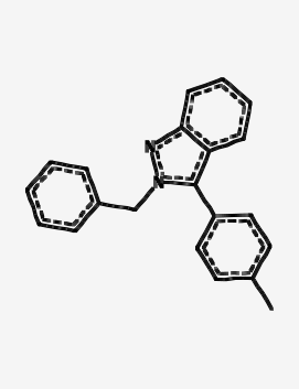 Cc1ccc(-c2c3ccccc3nn2Cc2ccccc2)cc1